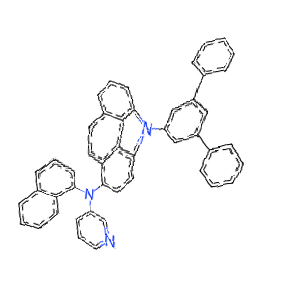 c1ccc(-c2cc(-c3ccccc3)cc(-n3c4cccc5ccc6c(N(c7cccnc7)c7cccc8ccccc78)ccc3c6c54)c2)cc1